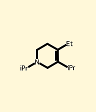 CCC1=C(C(C)C)CN(C(C)C)CC1